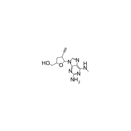 C#CC1CC(CO)OC1n1cnc2c(NC)nc(N)nc21